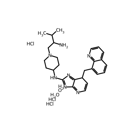 CC(C)C(N)CN1CCC(NC2=NC3=NC=CC(Cc4cccc5cccnc45)C3=N2)CC1.Cl.Cl.Cl.O.O